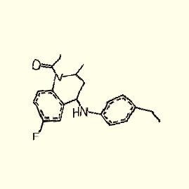 CCc1ccc(NC2CC(C)N(C(C)=O)c3ccc(F)cc32)cc1